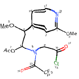 COc1cc(C(OC)C(OC(C)=O)N(CC(=O)Cl)C(=O)C(F)(F)F)ccn1